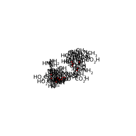 CC(C)[C@H](NC(=O)CNC(=O)[C@@H]1CCCN1C(=O)[C@H](CCC(=O)O)NC(=O)[C@H](CCCCN)NC(=O)[C@H](CC(N)=O)NC(=O)[C@H](CCCCN)NC(=O)[C@H](CO)NC(=O)[C@@H](NC(=O)[C@H](CO)NC(=O)[C@H](CO)NC(=O)[C@H](CC(=O)O)NC(=O)[C@H](C)N)[C@@H](C)O)C(=O)N[C@@H](CCC(=O)O)C(=O)N[C@@H](CCCNC(=N)N)C(=O)N[C@@H](CO)C(=O)N[C@@H](CO)C(=O)N1CCC[C@H]1C(=O)N[C@@H](CO)C(=O)N[C@@H](CCCCN)C(=O)O